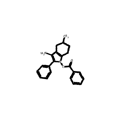 Nc1c2c(n(OC(=O)c3ccccc3)c1-c1ccccc1)CCC(C(F)(F)F)C2